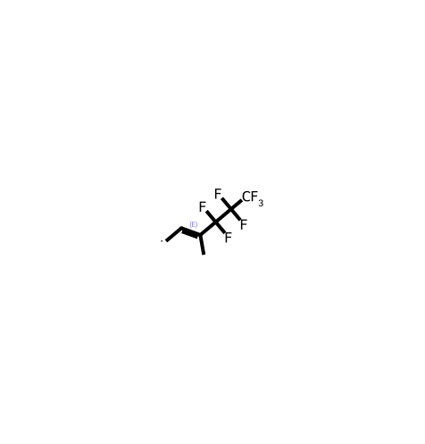 [CH2]/C=C(\C)C(F)(F)C(F)(F)C(F)(F)F